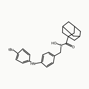 CC(C)(C)c1ccc(Nc2ccc(CN(O)C(=O)C34CC5CC(CC(C5)C3)C4)cc2)cc1